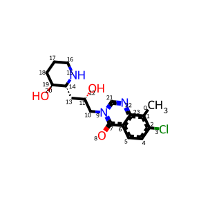 Cc1c(Cl)ccc2c(=O)n(C[C@@H](O)C[C@H]3NCCC[C@@H]3O)cnc12